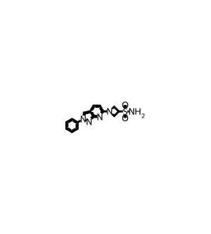 NS(=O)(=O)C1CN(c2ccc3cn(-c4ccccc4)nc3n2)C1